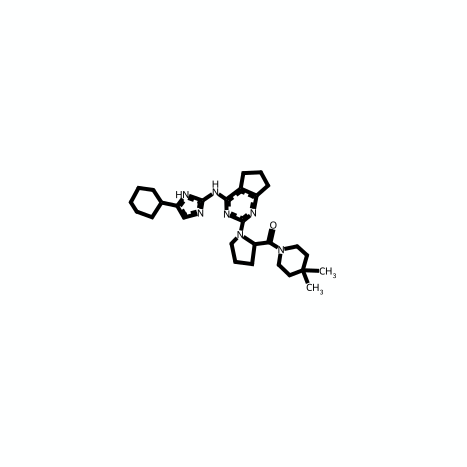 CC1(C)CCN(C(=O)C2CCCN2c2nc3c(c(Nc4ncc(C5CCCCC5)[nH]4)n2)CCC3)CC1